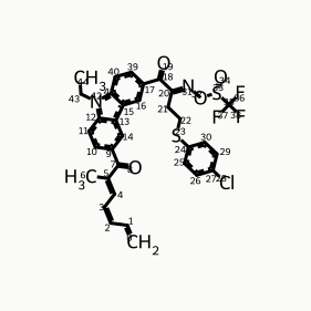 C=C/C=C\C=C(/C)C(=O)c1ccc2c(c1)c1cc(C(=O)/C(CCSc3ccc(Cl)cc3)=N/OS(=O)C(F)(F)F)ccc1n2CC